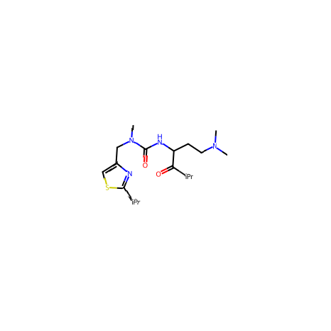 CC(C)C(=O)C(CCN(C)C)NC(=O)N(C)Cc1csc(C(C)C)n1